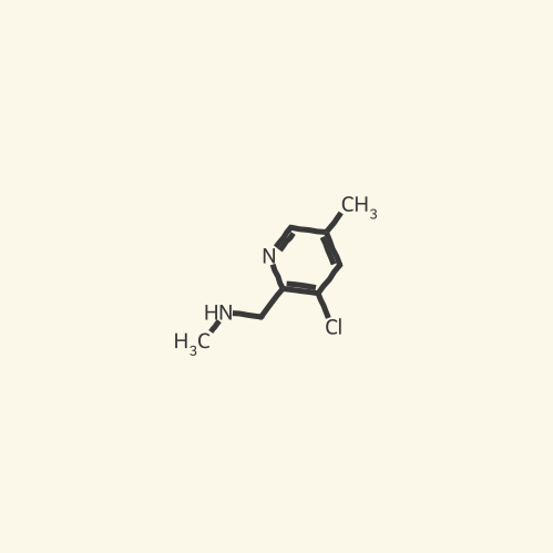 CNCc1ncc(C)cc1Cl